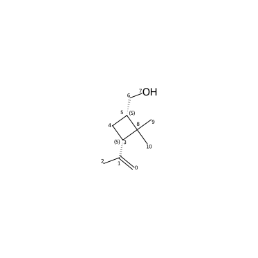 C=C(C)[C@@H]1C[C@H](CO)C1(C)C